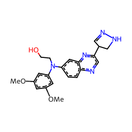 COc1cc(OC)cc(N(CCO)c2ccc3ncc(C4C=NNC4)nc3c2)c1